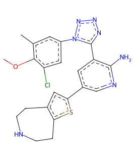 COc1c(C)cc(-n2nnnc2-c2cc(-c3cc4c(s3)CCNCC4)cnc2N)cc1Cl